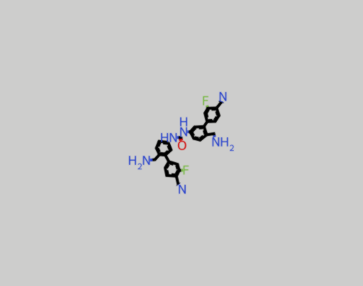 N#Cc1ccc(-c2cc(NC(=O)Nc3ccc(CN)c(-c4ccc(C#N)c(F)c4)c3)ccc2CN)cc1F